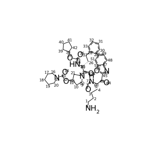 NCCCC[C@H](NC(=O)[C@@H]1C[C@@H](OC(=O)N2CCCCC2)CN1C(=O)[C@@H](CCc1ccccc1)NC(=O)OC1CCCC1)C(=O)c1nc2ccccc2o1